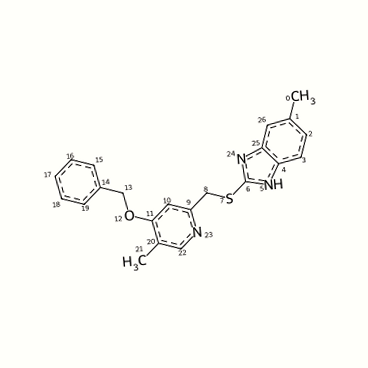 Cc1ccc2[nH]c(SCc3cc(OCc4ccccc4)c(C)cn3)nc2c1